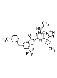 CCNc1cc(C2(c3nncn3C)CC(C)C2)nc(N2Cc3c(cc(CN4CCC[C@H](C)C4)cc3C(F)(F)F)C2=O)n1